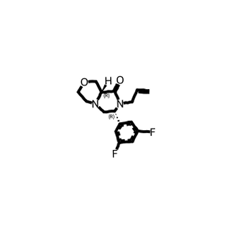 C=CCN1C(=O)[C@H]2COCCN2C[C@H]1c1cc(F)cc(F)c1